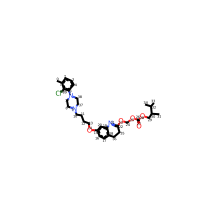 Cc1cccc(N2CCN(CCCCOc3ccc4c(c3)N=C(OCOC(=O)OCC(C)C(C)C)CC4)CC2)c1Cl